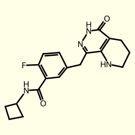 O=C(NC1CCC1)c1cc(Cc2n[nH]c(=O)c3c2NCCC3)ccc1F